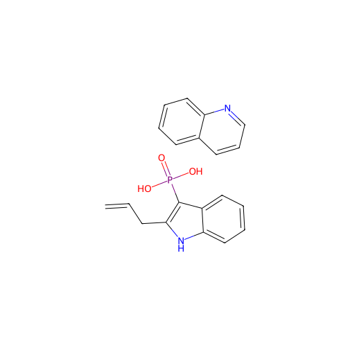 C=CCc1[nH]c2ccccc2c1P(=O)(O)O.c1ccc2ncccc2c1